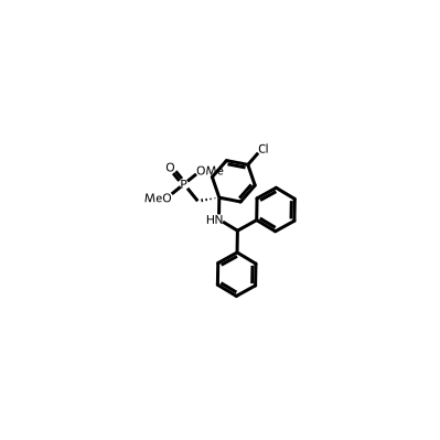 COP(=O)(C[C@@]1(NC(c2ccccc2)c2ccccc2)C=CC(Cl)=CC1)OC